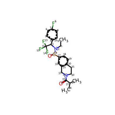 CCN(C(c1ccc(F)cc1)C(F)(F)F)[S+]([O-])c1ccc2c(c1)CN(C(=O)C(C)C)CC2